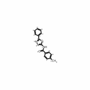 Cc1ccc(C(=O)Nc2nnc(-c3ccccc3)o2)cc1